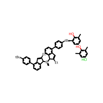 Cc1cccc(C)c1O.Cc1cccc(C)c1O.Cl.[CH2]=[Zr]([CH]1C(CC)=Cc2c(-c3ccc(C(C)(C)C)cc3)cccc21)[CH]1C(CC)=Cc2c(-c3ccc(C(C)(C)C)cc3)cccc21